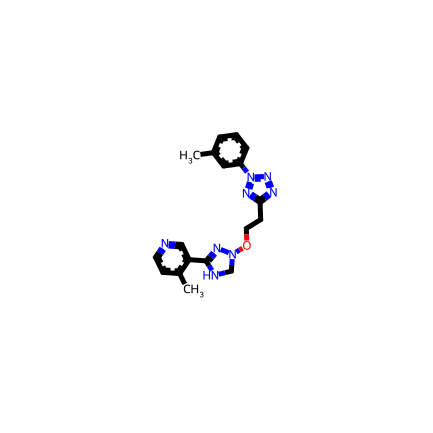 Cc1cccc(-n2nnc(CCON3CNC(c4cnccc4C)=N3)n2)c1